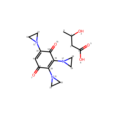 CC(O)CC(=O)O.O=C1C=C(N2CC2)C(=O)C(N2CC2)=C1N1CC1